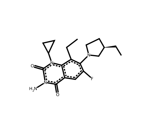 CCc1c(N2CC[C@@H](CC)C2)c(F)cc2c(=O)n(N)c(=O)n(C3CC3)c12